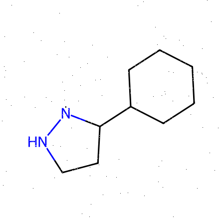 C1CCC(C2CCN[N]2)CC1